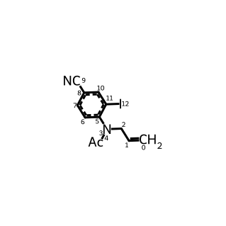 C=CCN(C(C)=O)c1ccc(C#N)cc1I